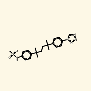 CC(C)(CCC(C)(C)c1ccc(-n2cnnn2)cc1)c1ccc(NS(C)(=O)=O)cc1